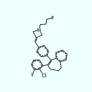 FCCCN1CC(=Cc2ccc(C3=C(c4cccc(F)c4Cl)CCCc4ccccc43)cc2)C1